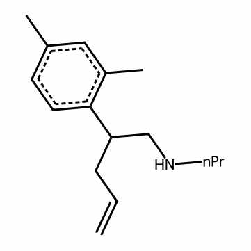 C=CCC(CNCCC)c1ccc(C)cc1C